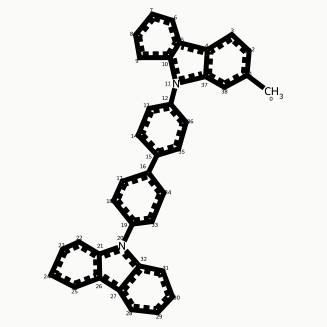 Cc1ccc2c3ccccc3n(-c3ccc(-c4ccc(-n5c6ccccc6c6ccccc65)cc4)cc3)c2c1